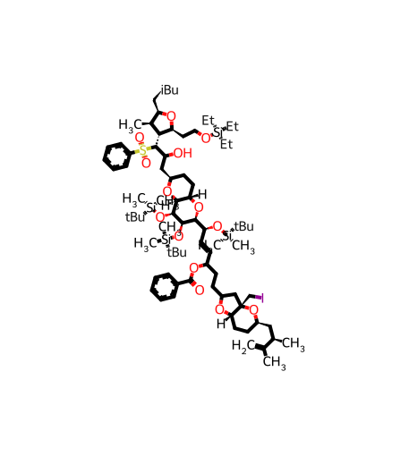 C=C(C)[C@H](C)C[C@H]1CC[C@@H]2OC(CCC(/C=C/[C@H](O[Si](C)(C)C(C)(C)C)[C@@H]3O[C@H]4CC[C@H](CC(O)C([C@@H]5[C@@H](C)[C@@H](C[C@H](C)CC)O[C@H]5CCO[Si](CC)(CC)CC)S(=O)(=O)c5ccccc5)O[C@@H]4[C@H](O[Si](C)(C)C(C)(C)C)[C@@H]3O[Si](C)(C)C(C)(C)C)OC(=O)c3ccccc3)C[C@]2(CI)O1